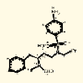 CC(C)CN(C[C@@H](O)[C@H](Cc1ccccc1)N(C)C=O)S(=O)(=O)c1ccc(N)cc1